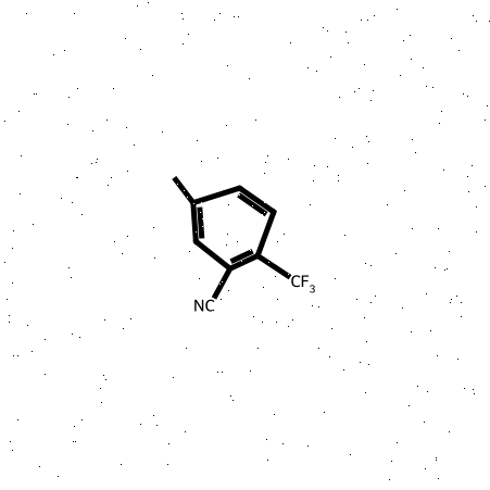 Cc1ccc(C(F)(F)F)c(C#N)c1